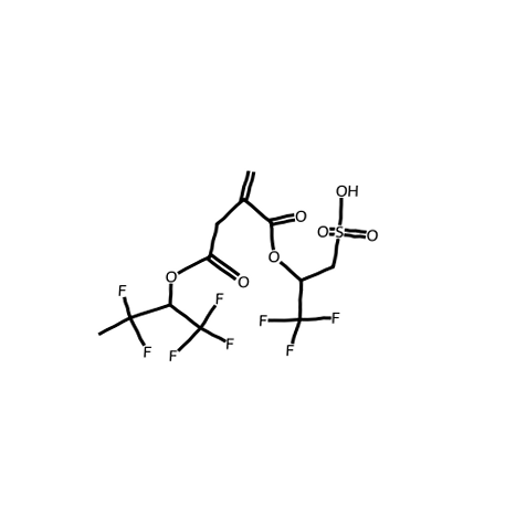 C=C(CC(=O)OC(C(C)(F)F)C(F)(F)F)C(=O)OC(CS(=O)(=O)O)C(F)(F)F